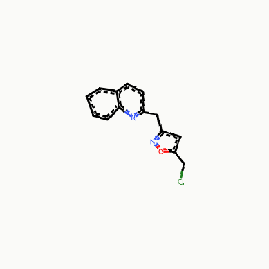 ClCc1cc(Cc2ccc3ccccc3n2)no1